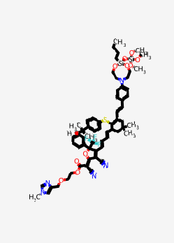 CCCC[Si]1(O[Si](OC)(OC)OC)OCCN(c2ccc(/C=C/C3=C(Sc4ccc(C(C)(C)C)cc4)C(/C=C/C=C/C4=C(C#N)C(=C(\C#N)C(=O)OCCOCc5cn(C)cn5)/OC4(c4ccccc4)C(F)(F)F)CC(C)(C)C3)cc2)CCO1